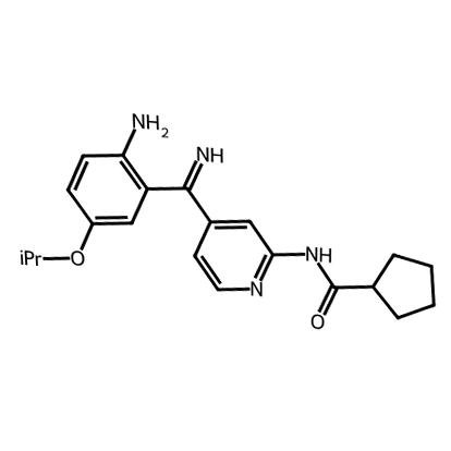 CC(C)Oc1ccc(N)c(C(=N)c2ccnc(NC(=O)C3CCCC3)c2)c1